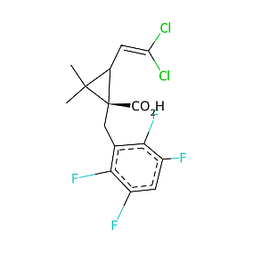 CC1(C)C(C=C(Cl)Cl)[C@@]1(Cc1c(F)c(F)cc(F)c1F)C(=O)O